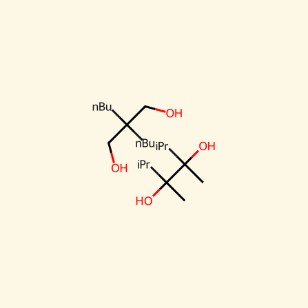 CC(C)C(C)(O)C(C)(O)C(C)C.CCCCC(CO)(CO)CCCC